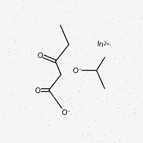 CC(C)[O-].CCC(=O)CC(=O)[O-].[In+2]